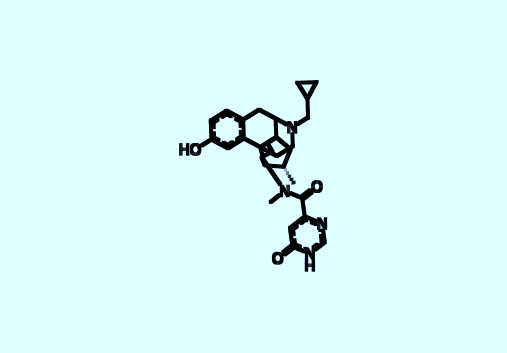 C[C@H]1CC23CCC(N(C)C(=O)c4cc(=O)[nH]cn4)C1C21CCN(CC2CC2)C3Cc2ccc(O)cc21